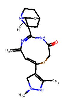 C=C1/C=C(/C2=C(C)NN(C)C2)SCC(=O)N/C([C@@H]2CC3CCN2CC3)=N\1